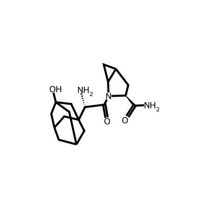 NC(=O)[C@@H]1CC2CC2N1C(=O)[C@@H](N)C12CC3CC(CC(O)(C3)C1)C2